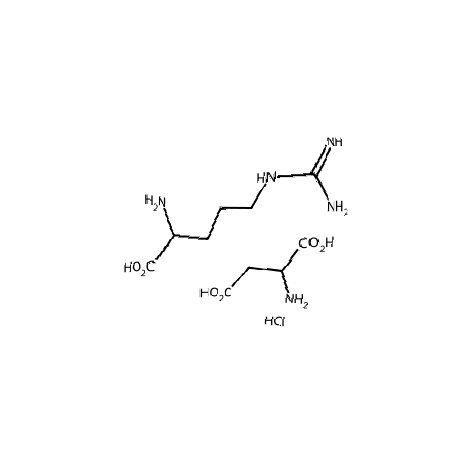 Cl.N=C(N)NCCCC(N)C(=O)O.NC(CC(=O)O)C(=O)O